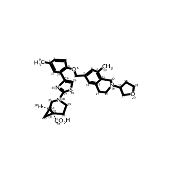 Cc1ccc(OCc2cc(C)c3c(c2)CCN(C2CCOC2)C3)c(-c2csc(N3CC[C@@]4(C(=O)O)C[C@H]4C3)n2)c1